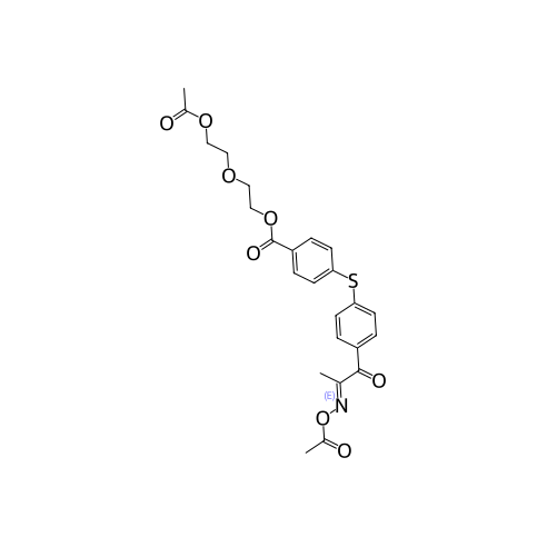 CC(=O)OCCOCCOC(=O)c1ccc(Sc2ccc(C(=O)/C(C)=N/OC(C)=O)cc2)cc1